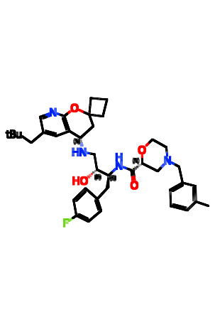 Cc1cccc(CN2CCO[C@@H](C(=O)N[C@@H](Cc3ccc(F)cc3)[C@H](O)CN[C@H]3CC4(CCC4)Oc4ncc(CC(C)(C)C)cc43)C2)c1